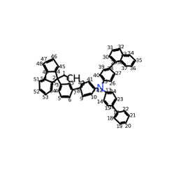 CCC1(c2cccc(-c3ccc(N(c4ccc(-c5ccccc5)cc4)c4ccc(-c5cccc6ccccc56)cc4)cc3)c2)c2ccccc2-c2ccccc21